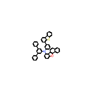 c1ccc(-c2cc(-c3ccccc3)cc(N(c3cccc(-c4cccc5c4sc4ccccc45)c3)c3cccc4oc5c6ccccc6ccc5c34)c2)cc1